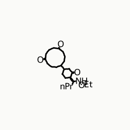 CCCC(NOCC)=C1CCC(C2CCCC(=O)CCCC(=O)CCC2)CC1=O